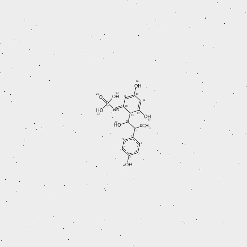 CC(c1ccc(O)cc1)C(O)C1C(O)=CC(O)=CC1=NP(=O)(O)O